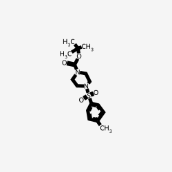 Cc1ccc(S(=O)(=O)N2CCN(C(=O)OC(C)(C)C)CC2)cc1